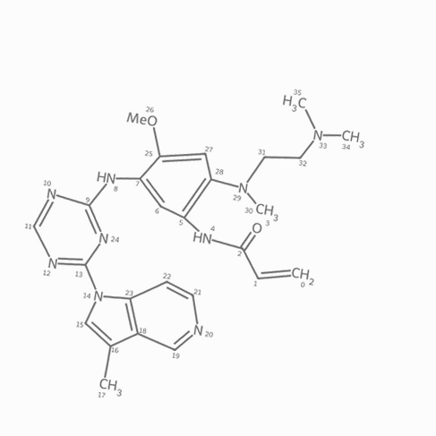 C=CC(=O)Nc1cc(Nc2ncnc(-n3cc(C)c4cnccc43)n2)c(OC)cc1N(C)CCN(C)C